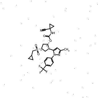 Cc1cc(N2C[C@H](S(=O)(=O)CC3CC3)C[C@@H]2OC(=O)NC2(C#N)CC2)n(-c2ccc(C(F)(F)F)cc2)n1